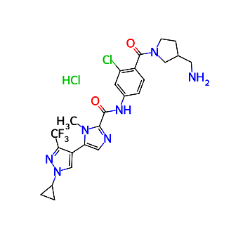 Cl.Cn1c(-c2cn(C3CC3)nc2C(F)(F)F)cnc1C(=O)Nc1ccc(C(=O)N2CCC(CN)C2)c(Cl)c1